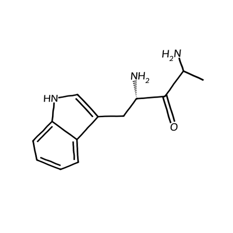 CC(N)C(=O)[C@@H](N)Cc1c[nH]c2ccccc12